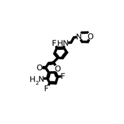 Nc1c(F)cc(F)c2oc(-c3ccc(NCCN4CCOCC4)c(F)c3)cc(=O)c12